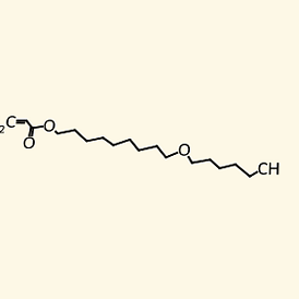 C=CC(=O)OCCCCCCCCCOCCCCCC